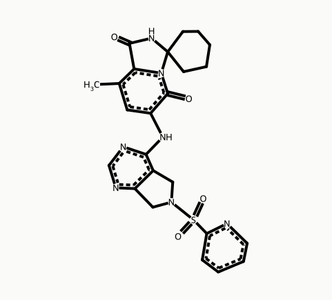 Cc1cc(Nc2ncnc3c2CN(S(=O)(=O)c2ccccn2)C3)c(=O)n2c1C(=O)NC21CCCCC1